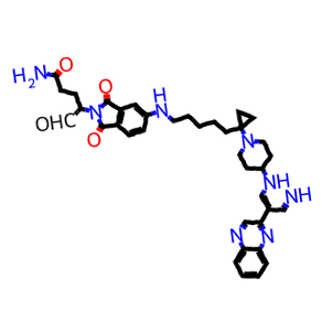 N=C/C(=C\NC1CCN(C2(CCCCCNc3ccc4c(c3)C(=O)N(C(C=O)CCC(N)=O)C4=O)CC2)CC1)c1cnc2ccccc2n1